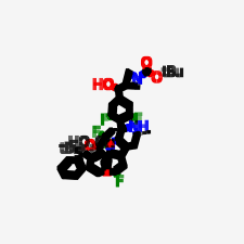 C[C@@H]1Cc2c(n(C(=O)O)c3ccc(F)cc23)[C@@](CC(F)(F)CO[Si](c2ccccc2)(c2ccccc2)C(C)(C)C)(c2c(F)cc(C(O)C3CN(C(=O)OC(C)(C)C)C3)cc2F)N1